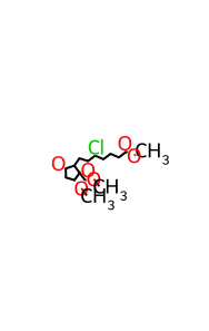 COC(=O)CCCC(Cl)C1CC2C(=O)CCC2(C(OC)OC)O1